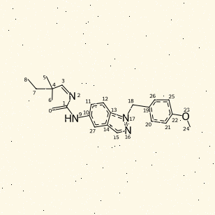 C=C(/N=C\C(C)(C)CC)Nc1ccc2c(cnn2Cc2ccc(OC)cc2)c1